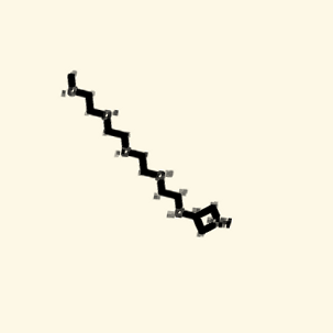 COCCOCCOCCOCCOC1CNC1